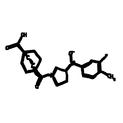 Cc1ccc([S+]([O-])C2CCN(C(=O)C34CCC(C(=O)O)(CC3)CC4)C2)cc1F